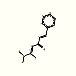 C/C(=N\C(=O)/C=C/c1ccccc1)N(C)C